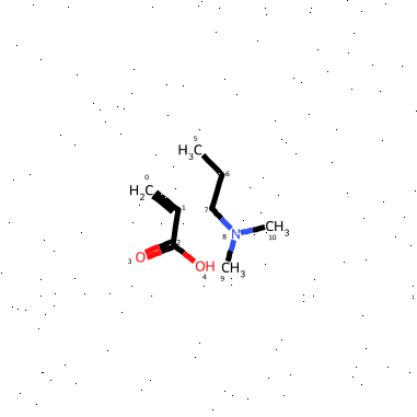 C=CC(=O)O.CCCN(C)C